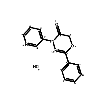 Cl.O=C1COC(c2ccccc2)=NN1c1cccnc1